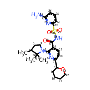 CC1CCN(c2nc(C3CCCCO3)ccc2C(=O)NS(=O)(=O)c2cccc(N)n2)C1(C)C